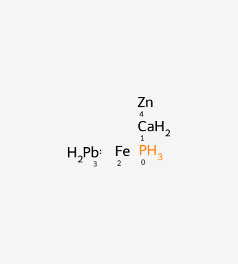 P.[CaH2].[Fe].[PbH2].[Zn]